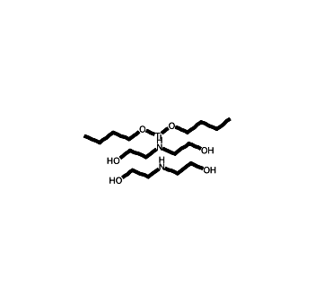 CCCC[O][Ti][O]CCCC.OCCNCCO.OCCNCCO